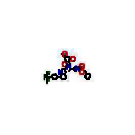 COc1ccc(CN(C(=O)c2cnc3c(-c4ccc(C(F)(F)F)cc4)cccc3c2)[C@H](C)C2CN(C(=O)OCc3ccccc3)C2)c(OC)c1